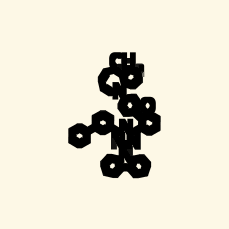 C=C1/C=C\C=C/N(c2ccc3c(c2)oc2cccc(-c4nc(-c5cccc(-c6ccccc6)c5)nc(-n5c6ccccc6c6ccccc65)n4)c23)c2ccccc21